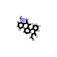 C=C(C(=C)c1ccccc1-c1ccccc1C(=C)/C=C\C)c1ccccc1NC